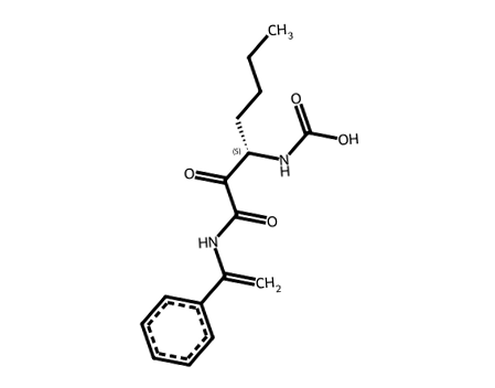 C=C(NC(=O)C(=O)[C@H](CCCC)NC(=O)O)c1ccccc1